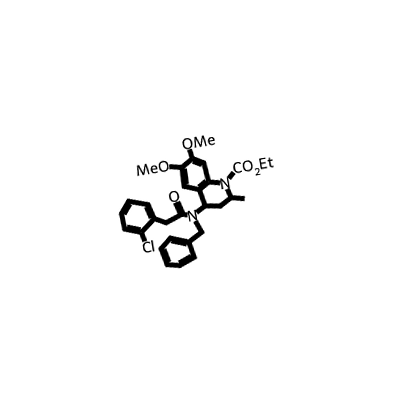 CCOC(=O)N1c2cc(OC)c(OC)cc2C(N(Cc2ccccc2)C(=O)Cc2ccccc2Cl)CC1C